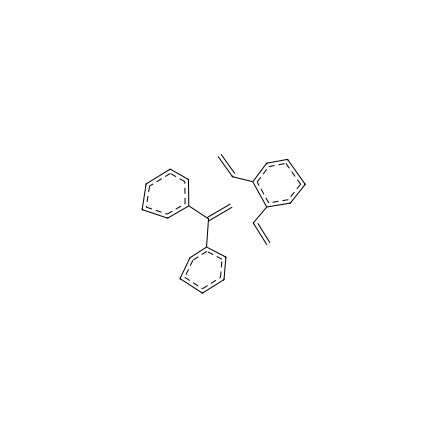 C=C(c1ccccc1)c1ccccc1.C=Cc1ccccc1C=C